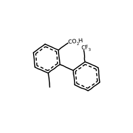 Cc1cccc(C(=O)O)c1-c1ccccc1C(F)(F)F